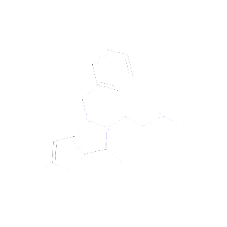 CC1c2sc(Cl)cc2N(Cc2ccccc2)N1CCNC(=O)O